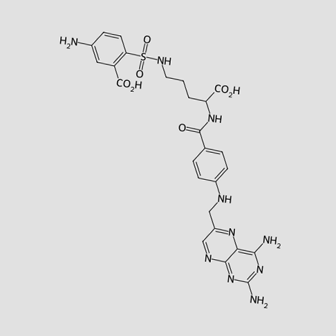 Nc1ccc(S(=O)(=O)NCCCC(NC(=O)c2ccc(NCc3cnc4nc(N)nc(N)c4n3)cc2)C(=O)O)c(C(=O)O)c1